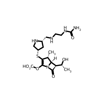 C[C@@H](O)[C@H]1C(=O)N2C(OC(=O)O)=C(S[C@@H]3CN[C@H](CNCCNC(N)=O)C3)[C@H](C)[C@@H]12